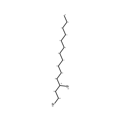 CCCCCCCCCCCC(Br)CCBr